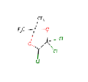 FC(F)(F)C1(C(F)(F)F)OC(Cl)C(Cl)(Cl)O1